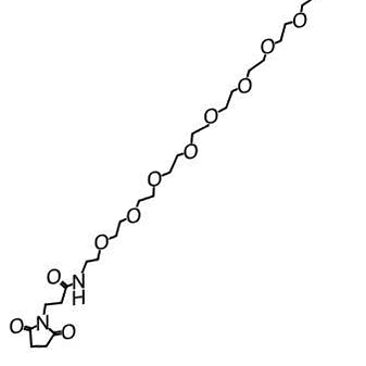 CCCOCCOCCOCCOCCOCCOCCOCCOCCOCCNC(=O)CCN1C(=O)CCC1=O